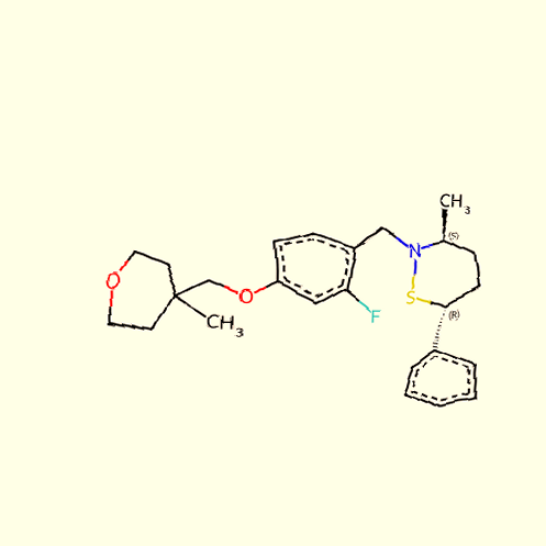 C[C@H]1CC[C@H](c2ccccc2)SN1Cc1ccc(OCC2(C)CCOCC2)cc1F